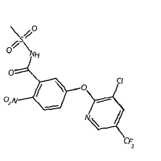 CS(=O)(=O)NC(=O)c1cc(Oc2ncc(C(F)(F)F)cc2Cl)ccc1[N+](=O)[O-]